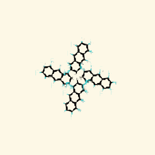 Fc1c(F)c(F)c2c(F)c3c(F)[c]([Ga-]([c]4c(F)c(F)c5c(F)c6c(F)c(F)c(F)c(F)c6c(F)c5c4F)([c]4c(F)c(F)c5c(F)c6c(F)c(F)c(F)c(F)c6c(F)c5c4F)[c]4c(F)c(F)c5c(F)c6c(F)c(F)c(F)c(F)c6c(F)c5c4F)c(F)c(F)c3c(F)c2c1F